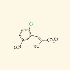 CCOC(=O)/C(C#N)=C/c1cc([N+](=O)[O-])ccc1Cl